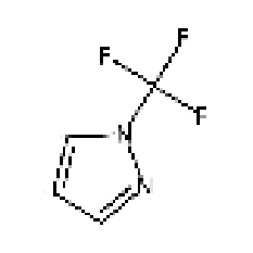 FC(F)(F)n1[c][c]cn1